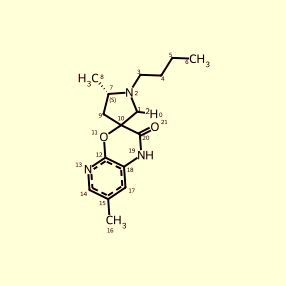 [2H]C1N(CCCC)[C@@H](C)CC12Oc1ncc(C)cc1NC2=O